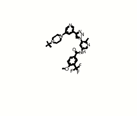 COc1ccc(C(=O)Nc2cnc(C)c(-n3cc(-c4cncc(N5CCN(C(C)(C)C)CC5)c4)nn3)c2)cc1C(F)(F)F